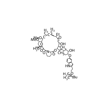 CCC1/C=C(\C)CC(C)CC(OC)C2OC(O)(C(=O)C(=O)N3CCCCC3C(=O)OC(C(C)=CC3CCC(Oc4ccc5[nH]c(CCO[Si](C)(C)C(C)(C)C)cc5c4)C(O)C3)C(C)C(O)CC1=O)C(C)CC2OC